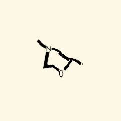 [CH2]C1=CN(C)CO1